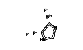 [B+3].[F-].[F-].[F-].c1c[nH]cn1